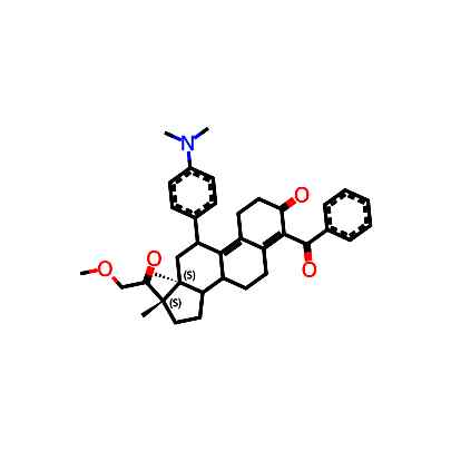 COCC(=O)[C@@]1(C)CCC2C3CCC4=C(C(=O)c5ccccc5)C(=O)CCC4=C3C(c3ccc(N(C)C)cc3)C[C@@]21C